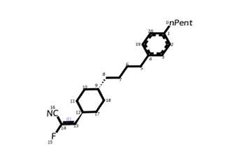 CCCCCc1ccc(CCCC[C@H]2CC[C@H](/C=C(/F)C#N)CC2)cc1